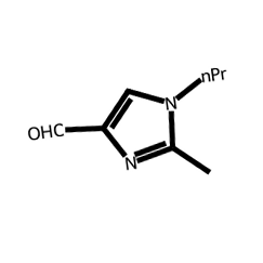 CCCn1cc(C=O)nc1C